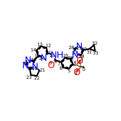 CS(=O)(=O)c1ccc(C(=O)Nc2cccc(-c3nnc4n3CCC4)n2)cc1-n1cnc(C2CC2)c1